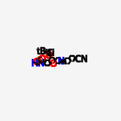 CC(C)(C)[Si](C)(C)OC1CC2(CCN([C@@H]3CCc4cc(C#N)ccc4C3)CC2)Oc2ccc(NS(C)(=O)=O)cc21